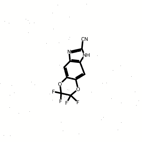 N#Cc1nc2cc3c(cc2[nH]1)OC(F)(F)C(F)(F)O3